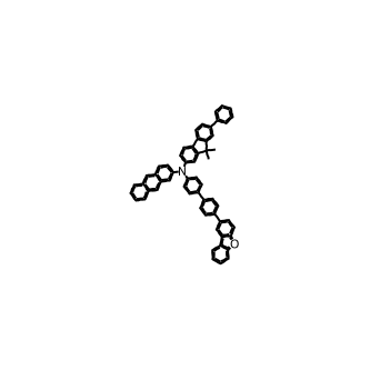 CC1(C)c2cc(-c3ccccc3)ccc2-c2ccc(N(c3ccc(-c4ccc(-c5ccc6oc7ccccc7c6c5)cc4)cc3)c3ccc4cc5ccccc5cc4c3)cc21